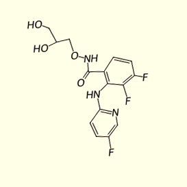 O=C(NOCC(O)CO)c1ccc(F)c(F)c1Nc1ccc(F)cn1